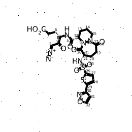 [N-]=[N+]=CC(=O)[C@H](CCC(=O)O)NC(=O)[C@@H]1CCCN2C(=O)CC[C@H](NS(=O)(=O)c3ccc(-c4ccon4)s3)C(=O)N12